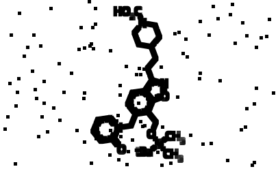 CC(C)(C)[Si](C)(C)OCc1c(Cn2ccccc2=O)ccc2c(CCC3CCN(C(=O)O)CC3)noc12